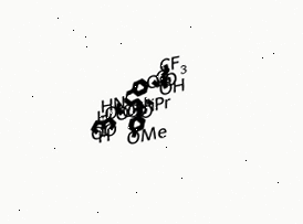 COc1ccc(S(=O)(=O)N(CC(C)C)C[C@@H](O)[C@H](Cc2ccc(OCP(=O)(O)OCC(F)(F)F)cc2)NC(=O)O[C@H]2CO[C@H]3OCC[C@H]32)cc1